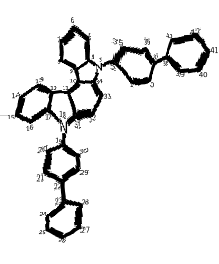 C1=CC(n2c3ccccc3c3c4c5ccccc5n(-c5ccc(-c6ccccc6)cc5)c4ccc32)CC=C1c1ccccc1